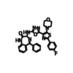 O=C1Nc2ccccc2C(c2ccccc2)=N[C@@H]1Nc1nnc(-c2nc(-c3ccc(F)cc3)sc2N2CCOCC2)o1